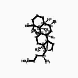 CC[C@@H]1C[C@H]2[C@@H]3CC[C@H]([C@H](C)CCC(=O)O)[C@@]3(C)CC[C@@H]2[C@]2(C)[C@H]1CCCC2(O)O